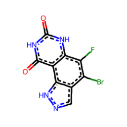 O=c1[nH]c(=O)c2c([nH]1)c(F)c(Br)c1cn[nH]c12